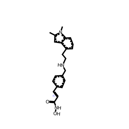 Cc1cc2c(CCNCc3ccc(/C=C/C(=O)NO)cc3)cccc2n1C